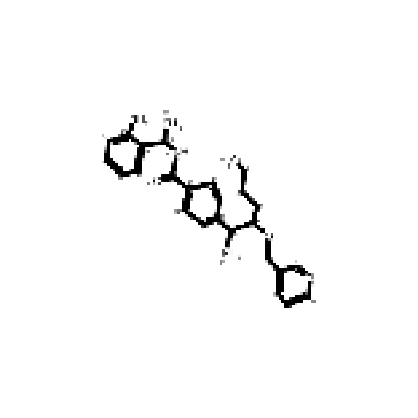 CCCCC(OCc1cccnc1)C(N)c1ccc(C(=O)NC(C)c2ccccc2N)cc1